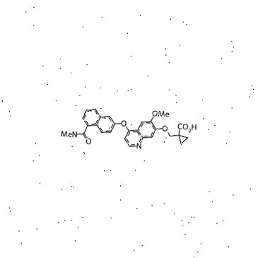 CNC(=O)c1cccc2cc(Oc3ccnc4cc(OCC5(C(=O)O)CC5)c(OC)cc34)ccc12